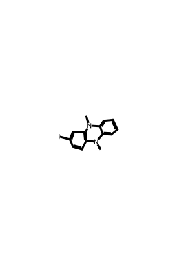 CN1c2ccccc2N(C)c2cc(I)ccc21